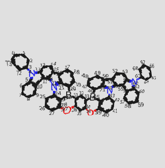 c1ccc(-n2c3ccccc3c3c2ccc2c4cccc5c4n(c23)-c2cccc3c2B5c2cc4c(cc2O3)Oc2cccc3c2B4c2cccc4c5ccc6c(c7ccccc7n6-c6ccccc6)c5n-3c24)cc1